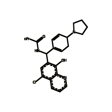 CCCC(=O)NC(C1=CCC(N2CCCC2)C=C1)c1cc(Cl)c2cccnc2c1O